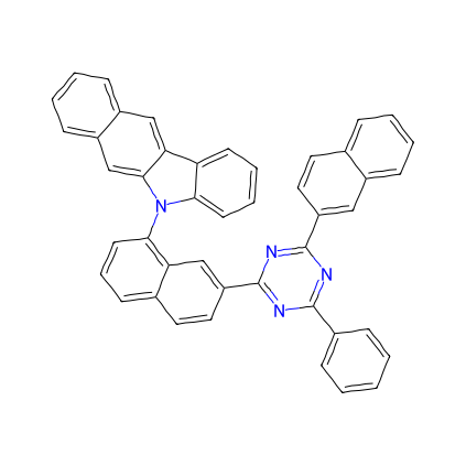 c1ccc(-c2nc(-c3ccc4ccccc4c3)nc(-c3ccc4cccc(-n5c6ccccc6c6cc7ccccc7cc65)c4c3)n2)cc1